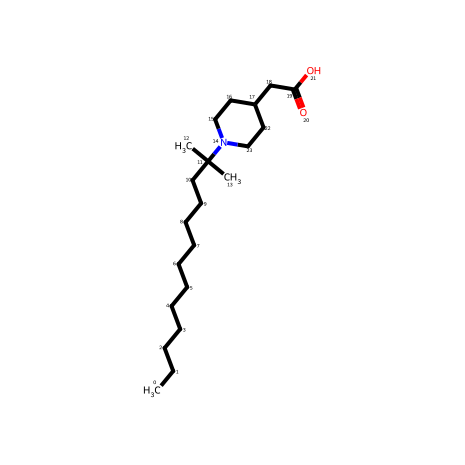 CCCCCCCCCCCC(C)(C)N1CCC(CC(=O)O)CC1